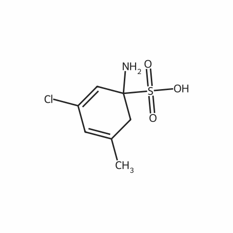 CC1=CC(Cl)=CC(N)(S(=O)(=O)O)C1